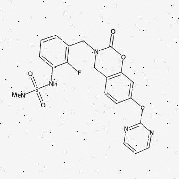 CNS(=O)(=O)Nc1cccc(CN2Cc3ccc(Oc4ncccn4)cc3OC2=O)c1F